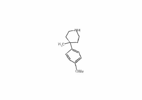 COc1ccc(C2(C)CCNCC2)cc1